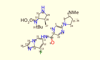 CN[C@H]1CN(c2cnc(C(=O)Nc3cc(F)c4nc(C)cn4c3)cn2)C[C@H]1C.C[C@@H]1CNC[C@@H]1N(C(=O)O)C(C)(C)C